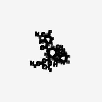 Cc1c(F)ccc(C(=O)N2C=C(C(=O)OC(C)C)c3[nH]c4ncccc4c3C(C)(C)C2)c1F